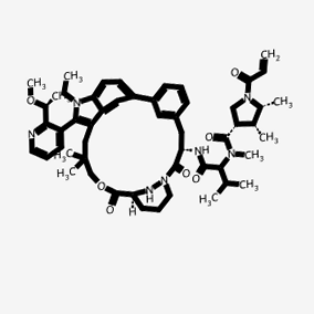 C=CC(=O)N1C[C@@H](C(=O)N(C)C(C(=O)N[C@H]2Cc3cccc(c3)-c3ccc4c(c3)c(c(-c3cccnc3[C@H](C)OC)n4CC)CC(C)(C)COC(=O)[C@@H]3CCCN(N3)C2=O)C(C)C)[C@@H](C)[C@H]1C